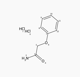 Cl.Cl.NC(=O)COc1ccccc1